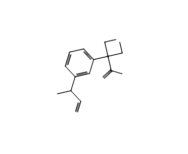 CC(C=O)c1cccc(C2(C(=O)O)COC2)c1